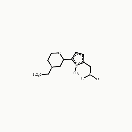 CCOC(=O)CN1CCOC(c2ccc(CN(CC)CC)n2C)C1